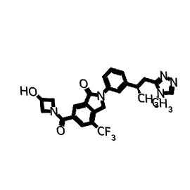 C[C@H](Cc1nncn1C)c1cccc(N2Cc3c(cc(C(=O)N4CC(O)C4)cc3C(F)(F)F)C2=O)c1